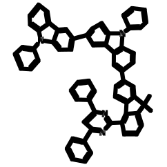 CC1(C)c2cc(-c3ccc4c(c3)c3cc(-c5ccc6c(c5)c5ccccc5n6-c5ccccc5)ccc3n4-c3ccccc3)ccc2-c2c(-c3nc(-c4ccccc4)cc(-c4ccccc4)n3)cccc21